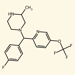 CC1CN(C(c2ccc(F)cc2)c2ccc(OC(F)(F)F)cn2)CCN1